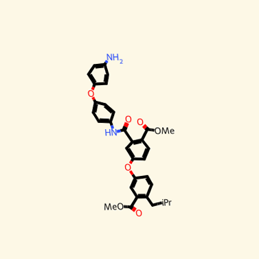 COC(=O)c1cc(Oc2ccc(C(=O)OC)c(C(=O)Nc3ccc(Oc4ccc(N)cc4)cc3)c2)ccc1CC(C)C